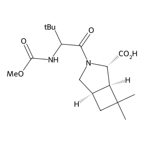 COC(=O)NC(C(=O)N1C[C@@H]2CC(C)(C)[C@@H]2[C@H]1C(=O)O)C(C)(C)C